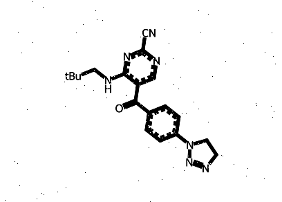 CC(C)(C)CNc1nc(C#N)ncc1C(=O)c1ccc(N2CCN=N2)cc1